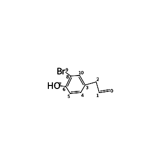 C=CCc1ccc(O)c(Br)c1